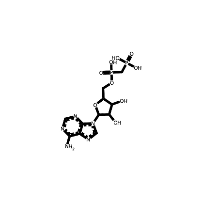 Nc1ncnc2c1ncn2C1OC(COP(=O)(O)CP(=O)(O)O)C(O)C1O